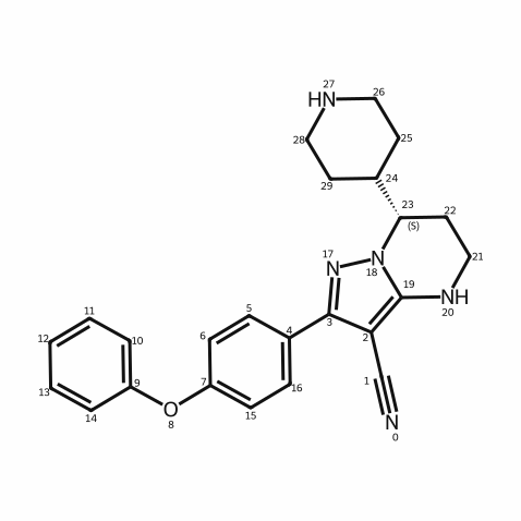 N#Cc1c(-c2ccc(Oc3ccccc3)cc2)nn2c1NCC[C@H]2C1CCNCC1